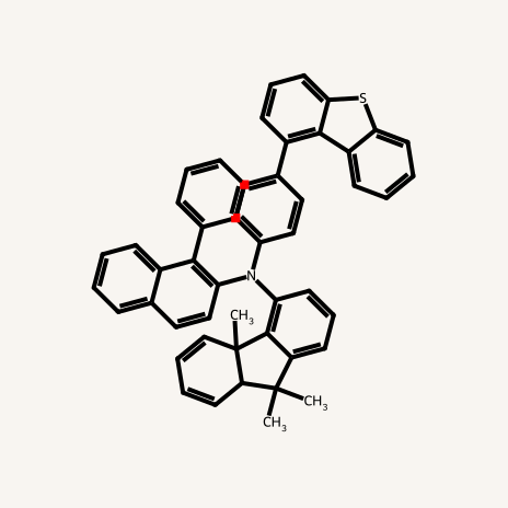 CC1(C)c2cccc(N(c3ccc(-c4cccc5sc6ccccc6c45)cc3)c3ccc4ccccc4c3-c3ccccc3)c2C2(C)C=CC=CC12